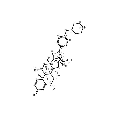 C[C@]12C=CC(=O)C=C1[C@@H](F)C[C@H]1[C@@H]3C[C@H]4CN(c5ccc(CC6CCNCC6)cc5)O[C@@]4(C(=O)CO)[C@@]3(C)C[C@H](O)[C@@]12F